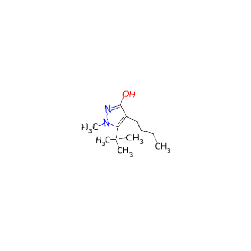 CCCCc1c(O)nn(C)c1C(C)(C)C